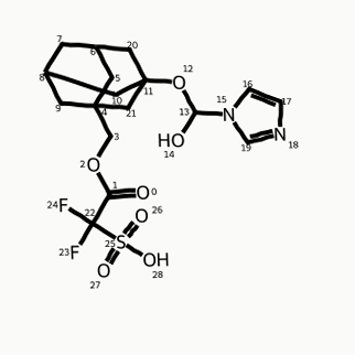 O=C(OCC12CC3CC(C1)CC(OC(O)n1ccnc1)(C3)C2)C(F)(F)S(=O)(=O)O